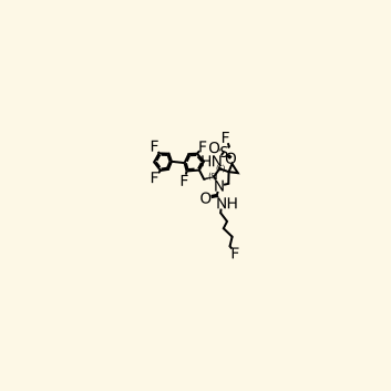 O=C(NCCCCCF)N1CC2(CC2)[C@H](NS(=O)(=O)CF)[C@@H]1Cc1cc(F)cc(-c2cc(F)cc(F)c2)c1F